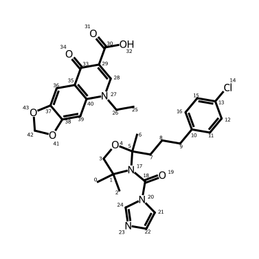 CC1(C)COC(C)(CCCc2ccc(Cl)cc2)N1C(=O)n1ccnc1.CCn1cc(C(=O)O)c(=O)c2cc3c(cc21)OCO3